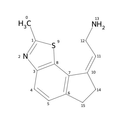 Cc1nc2ccc3c(c2s1)/C(=C\CN)CC3